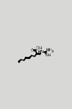 CCCCCCCC(CNC(=N)N)C(=O)O